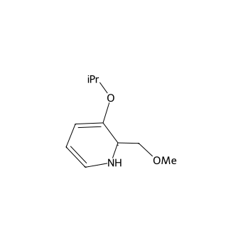 COC[C]1NC=CC=C1OC(C)C